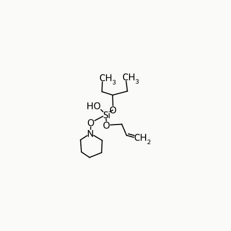 C=CCO[Si](O)(OC(CC)CC)ON1CCCCC1